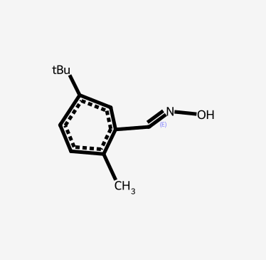 Cc1ccc(C(C)(C)C)cc1/C=N/O